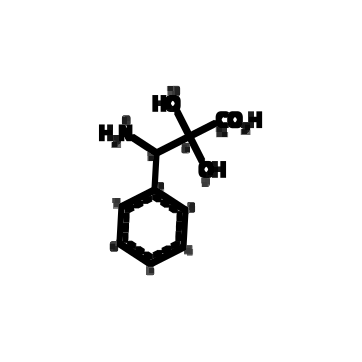 NC(c1ccccc1)C(O)(O)C(=O)O